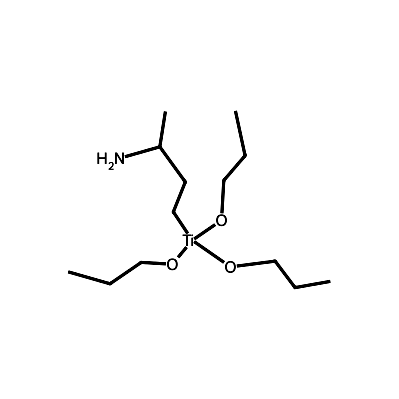 CCC[O][Ti]([CH2]CC(C)N)([O]CCC)[O]CCC